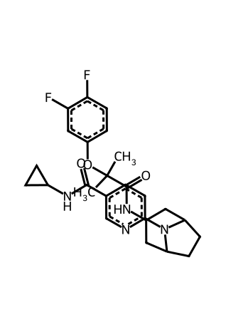 CC(C)(Oc1ccc(F)c(F)c1)C(=O)NC1CC2CCC(C1)N2c1ccc(C(=O)NC2CC2)cn1